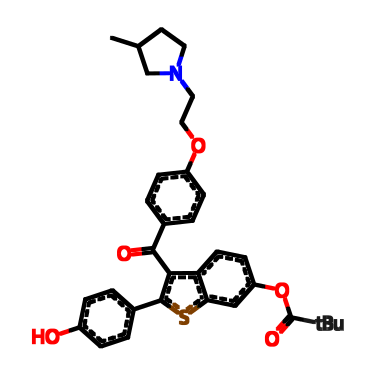 CC1CCN(CCOc2ccc(C(=O)c3c(-c4ccc(O)cc4)sc4cc(OC(=O)C(C)(C)C)ccc34)cc2)C1